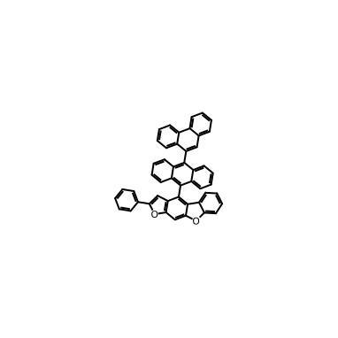 c1ccc(-c2cc3c(-c4c5ccccc5c(-c5cc6ccccc6c6ccccc56)c5ccccc45)c4c(cc3o2)oc2ccccc24)cc1